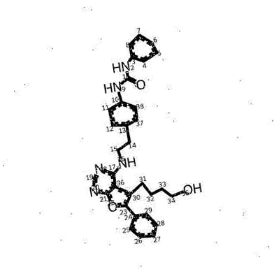 O=C(Nc1ccccc1)Nc1ccc(CCNc2ncnc3oc(-c4ccccc4)c(CCCCO)c23)cc1